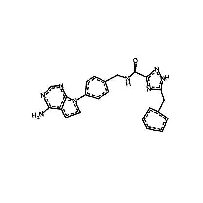 Nc1ncnc2c1ccn2-c1ccc(CNC(=O)c2n[nH]c(Cc3ccccc3)n2)cc1